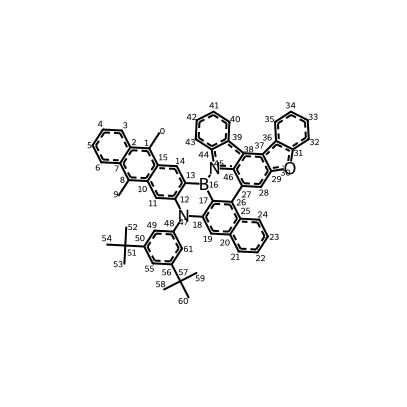 Cc1c2ccccc2c(C)c2cc3c(cc12)B1c2c(cc4ccccc4c2-c2cc4oc5ccccc5c4c4c5ccccc5n1c24)N3c1cc(C(C)(C)C)cc(C(C)(C)C)c1